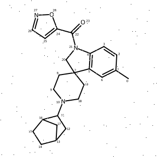 Cc1ccc2c(c1)C1(CCN(C3CC4CCC3C4)CC1)CN2C(=O)c1ccno1